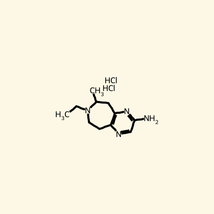 CCN1CCc2ncc(N)nc2CC1C.Cl.Cl